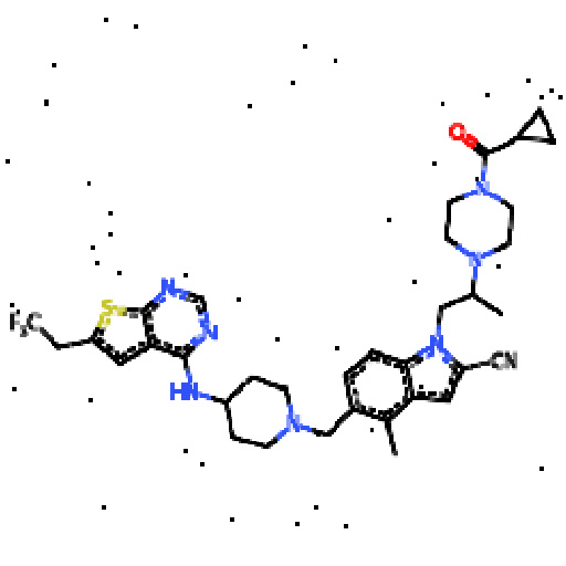 Cc1c(CN2CCC(Nc3ncnc4sc(CC(F)(F)F)cc34)CC2)ccc2c1cc(C#N)n2CC(C)N1CCN(C(=O)C2CC2)CC1